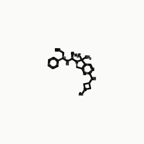 CC(=O)N1CC(Nc2ncc3c(n2)CN(C(=O)N[C@H](CO)c2ccccc2)C3(C)C)C1